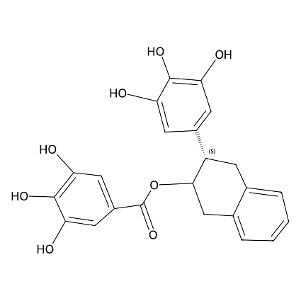 O=C(OC1Cc2ccccc2C[C@H]1c1cc(O)c(O)c(O)c1)c1cc(O)c(O)c(O)c1